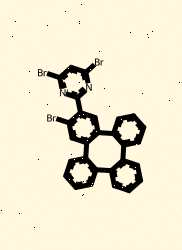 Brc1cc(Br)nc(-c2cc3c(cc2Br)-c2ccccc2-c2ccccc2-c2ccccc2-3)n1